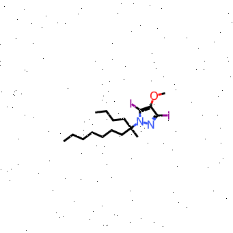 CCCCCCCC(C)(CCCC)n1nc(I)c(OC)c1I